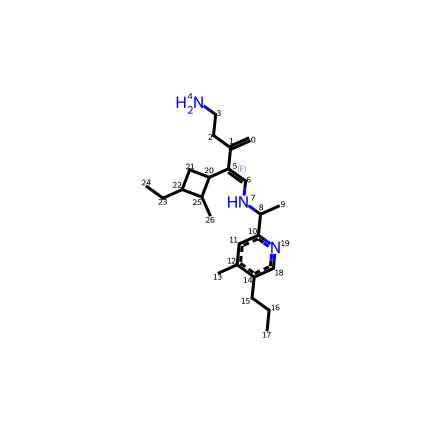 C=C(CCN)/C(=C/NC(C)c1cc(C)c(CCC)cn1)C1CC(CC)C1C